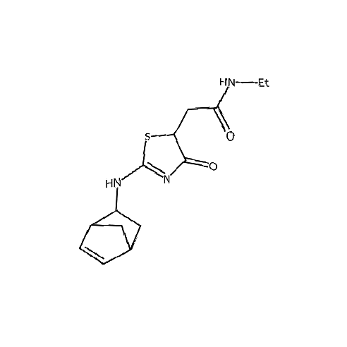 CCNC(=O)CC1SC(NC2CC3C=CC2C3)=NC1=O